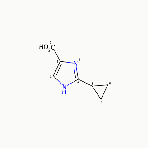 O=C(O)c1c[nH]c(C2CC2)n1